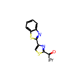 CC(C)C(=O)c1nc(-c2nc3ccccc3s2)cs1